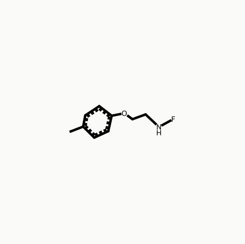 Cc1ccc(OCCNF)cc1